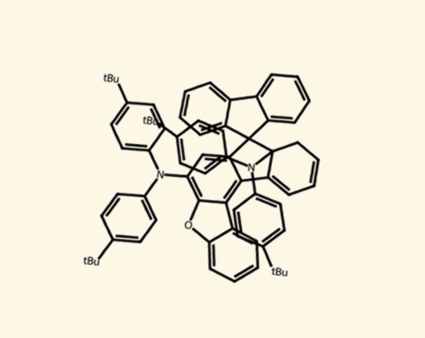 CC(C)(C)c1ccc(N(c2ccc(C(C)(C)C)cc2)c2cc3c(c4c2oc2ccccc24)C2=CC=CCC2(N(c2ccc(C(C)(C)C)cc2)c2ccc(C(C)(C)C)cc2)C32c3ccccc3-c3ccccc32)cc1